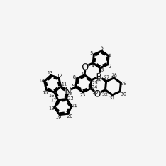 c1ccc2c(c1)Oc1cc(-n3c4ccccc4c4ccccc43)cc3c1B2C1CCCCC1O3